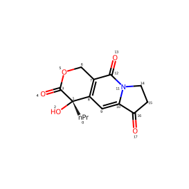 CCC[C@@]1(O)C(=O)OCc2c1cc1n(c2=O)CCC1=O